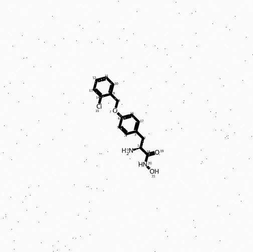 N[C@@H](Cc1ccc(OCc2ccccc2Cl)cc1)C(=O)NO